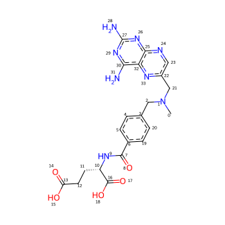 CN(Cc1ccc(C(=O)N[C@@H](CCC(=O)O)C(=O)O)cc1)Cc1cnc2nc(N)nc(N)c2n1